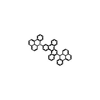 C1=CC2=CC=CC3C2C(=C1)c1ccccc1C3c1cc2c3ccccc3c3cc(N4c5ccccc5C5=CC=CC6=CC=CC4C65)ccc3c2c2ccccc12